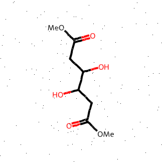 COC(=O)CC(O)C(O)CC(=O)OC